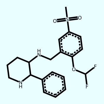 CS(=O)(=O)c1ccc(OC(F)F)c(CNC2CCCNC2c2ccccc2)c1